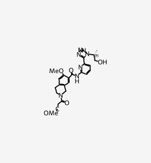 COCCC(=O)N1CCc2cc(OC)c(C(=O)Nc3cccc(-c4nnnn4[C@H](C)CO)n3)cc2C1